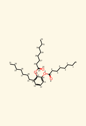 CCCCCCCC(=O)Oc1cccc(CCCCCCC)c1OC(=O)CCCCCCC